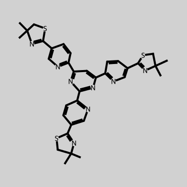 CC1(C)CSC(c2ccc(-c3cc(-c4ccc(C5=NC(C)(C)CS5)cn4)nc(-c4ccc(C5=NC(C)(C)CS5)cn4)n3)nc2)=N1